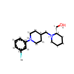 OC[C@@H]1CCCCN1CC1CCN(c2cccc(F)c2)CC1